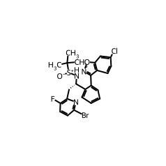 CC(C)(C)[S+]([O-])N[C@@H](Cc1nc(Br)ccc1F)c1ccccc1-c1noc2cc(Cl)ccc12